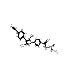 Cc1nn(-c2ccc(C(=O)N[S+](C)[O-])cn2)c(O)c1-c1ccc(C#N)cc1